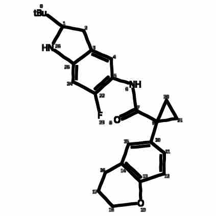 CC(C)(C)C1Cc2cc(NC(=O)C3(c4ccc5c(c4)CCCO5)CC3)c(F)cc2N1